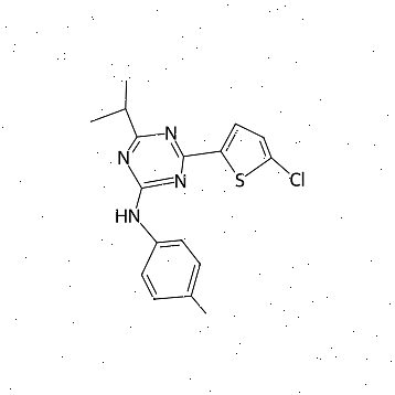 Cc1ccc(Nc2nc(-c3ccc(Cl)s3)nc(C(C)C)n2)cc1